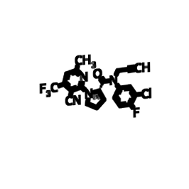 C#CCN(C(=O)[C@@H]1CCCN1c1nc(C)cc(C(F)(F)F)c1C#N)c1ccc(F)c(Cl)c1